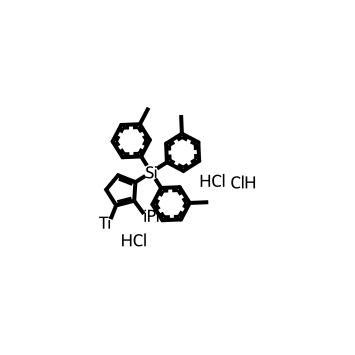 Cc1cccc([Si](C2=CC[C]([Ti])=C2C(C)C)(c2cccc(C)c2)c2cccc(C)c2)c1.Cl.Cl.Cl